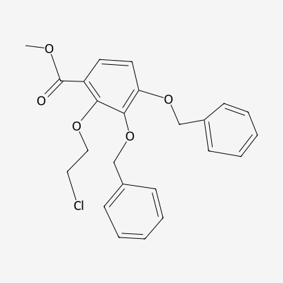 COC(=O)c1ccc(OCc2ccccc2)c(OCc2ccccc2)c1OCCCl